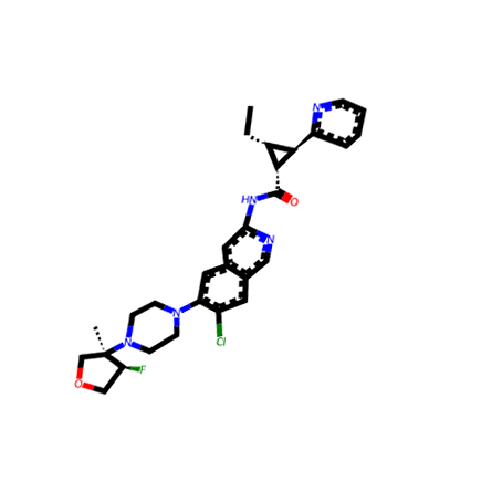 CC[C@H]1[C@@H](C(=O)Nc2cc3cc(N4CCN([C@]5(C)COC[C@@H]5F)CC4)c(Cl)cc3cn2)[C@@H]1c1ccccn1